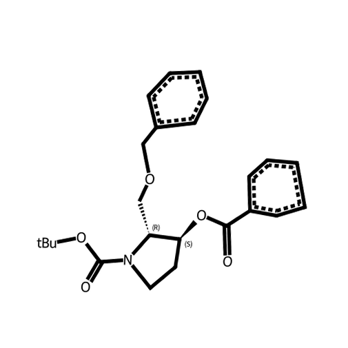 CC(C)(C)OC(=O)N1CC[C@H](OC(=O)c2ccccc2)[C@H]1COCc1ccccc1